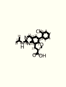 COc1c(-c2ccccc2Cl)cc2cnc(NC(C)C)nc2c1CCC(=O)O